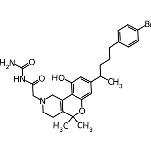 CC(CCCc1ccc(Br)cc1)c1cc(O)c2c(c1)OC(C)(C)C1=C2CN(CC(=O)NC(N)=O)CC1